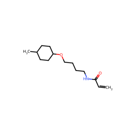 C=CC(=O)NCCCCOC1CCC(C)CC1